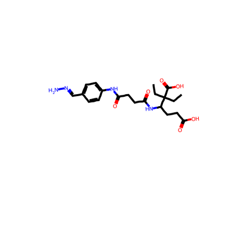 CCC(CC)(C(=O)O)C(CCC(=O)O)NC(=O)CCC(=O)Nc1ccc(C=NN)cc1